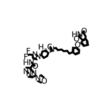 CN(CCCCCCc1cccc(Oc2cccc3c2C(=O)NC(=O)C3)c1)C[C@H]1CC[C@H](n2cc(NC(=O)c3cnn4ccc(N5CCOCC5)nc34)c(C(F)F)n2)CC1